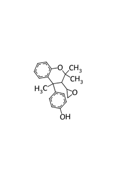 CC1(C)Oc2ccccc2C(C)(c2ccc(O)cc2)C1C1CO1